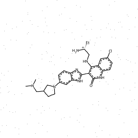 CC[C@@H](N)CNc1c(-c2nc3ccc(N4CCC(CN(C)C)C4)cc3[nH]2)c(=O)[nH]c2ccc(Cl)cc12